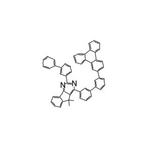 CC1(C)c2ccccc2-c2nc(-c3cccc(-c4ccccc4)c3)nc(-c3cccc(-c4cccc(-c5ccc6c7ccccc7c7ccccc7c6c5)c4)c3)c21